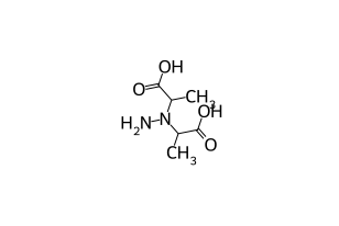 CC(C(=O)O)N(N)C(C)C(=O)O